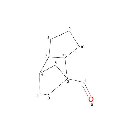 O=CC12CCC(C1)C1CCCC12